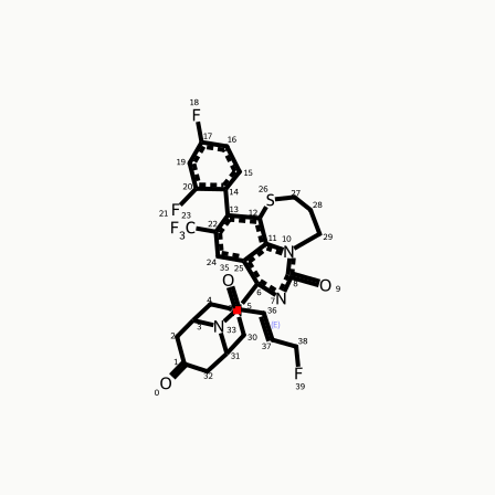 O=C1CC2CN(c3nc(=O)n4c5c(c(-c6ccc(F)cc6F)c(C(F)(F)F)cc35)SCCC4)CC(C1)N2C(=O)/C=C/CF